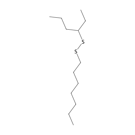 CCCCCCCSSC(CC)CCC